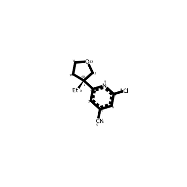 CC[C@@]1(c2cc(C#N)cc(Cl)n2)CCOC1